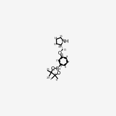 CC1(C)OB(c2cccc(OC[C@@H]3CCCN3)c2)OC1(C)C